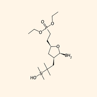 B[C@@H]1O[C@H](CCP(=O)(OCC)OCC)C[C@@H]1CC(C)(C)[Si](C)(C)O